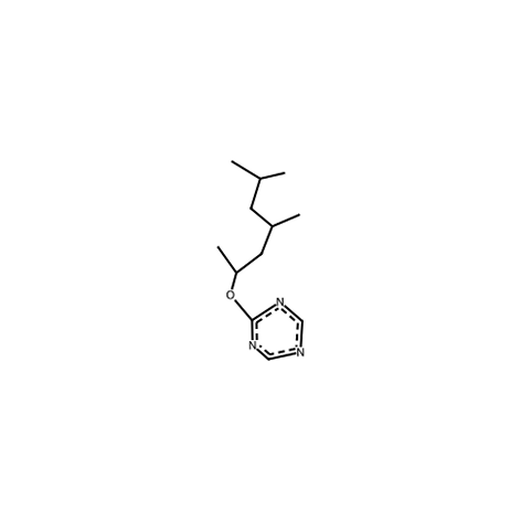 CC(C)CC(C)CC(C)Oc1ncncn1